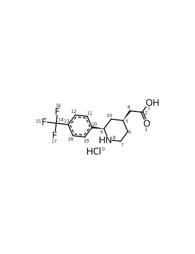 Cl.O=C(O)C[C@H]1CCN[C@@H](c2ccc(C(F)(F)F)cc2)C1